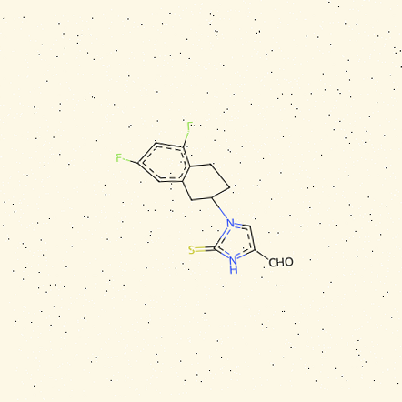 O=Cc1cn(C2CCc3c(F)cc(F)cc3C2)c(=S)[nH]1